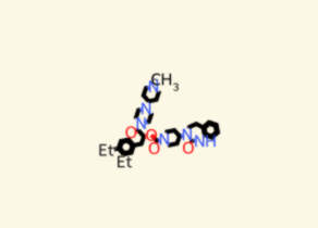 CCc1ccc(CC(OC(=O)N2CCC(N3CCc4ccccc4NC3=O)CC2)C(=O)N2CCN(C3CCN(C)CC3)CC2)cc1CC